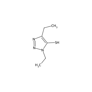 CCc1nnn(CC)c1S